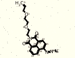 C=CCOCCOCCN1C(=O)c2cccc3c(N=[N+]=[N-])ccc(c23)C1=O